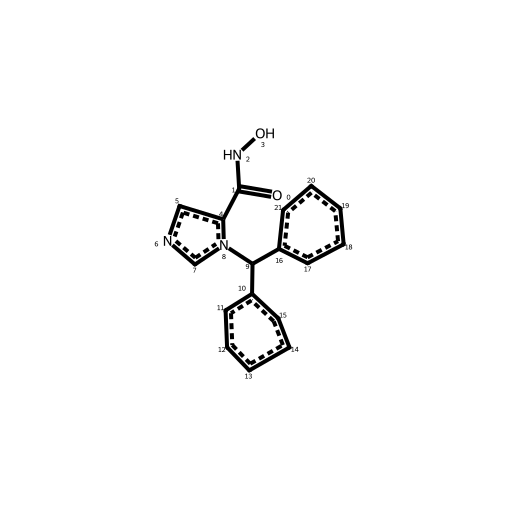 O=C(NO)c1cncn1C(c1ccccc1)c1ccccc1